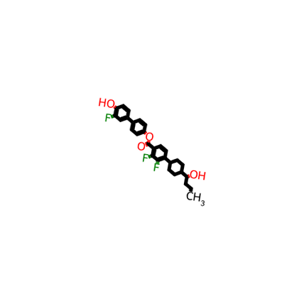 CCCC(O)C1CCC(c2ccc(C(=O)Oc3ccc(-c4ccc(O)c(F)c4)cc3)c(F)c2F)CC1